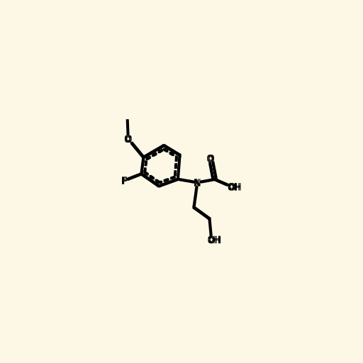 COc1ccc(N(CCO)C(=O)O)cc1F